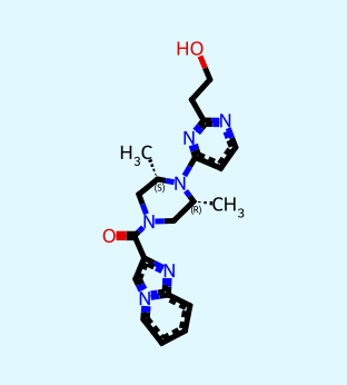 C[C@@H]1CN(C(=O)c2cn3ccccc3n2)C[C@H](C)N1c1ccnc(CCO)n1